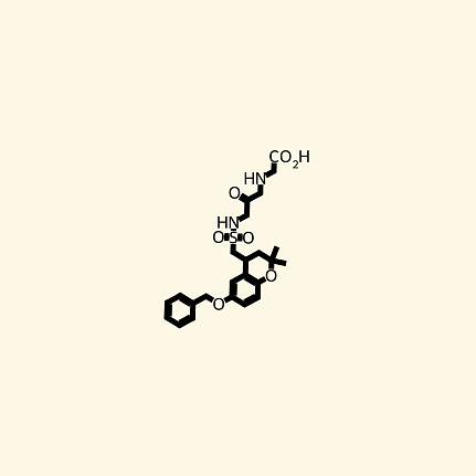 CC1(C)CC(CS(=O)(=O)NCC(=O)CNCC(=O)O)c2cc(OCc3ccccc3)ccc2O1